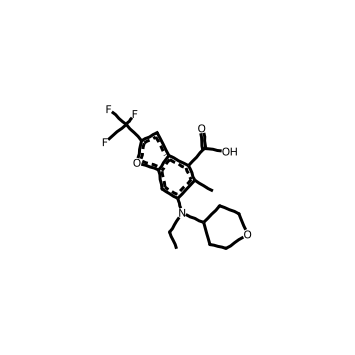 CCN(c1cc2oc(C(F)(F)F)cc2c(C(=O)O)c1C)C1CCOCC1